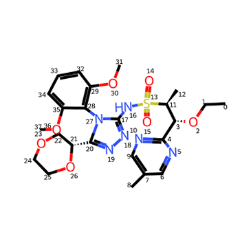 CCO[C@H](c1ncc(C)cn1)[C@H](C)S(=O)(=O)Nc1nnc([C@H]2COCCO2)n1-c1c(OC)cccc1OC